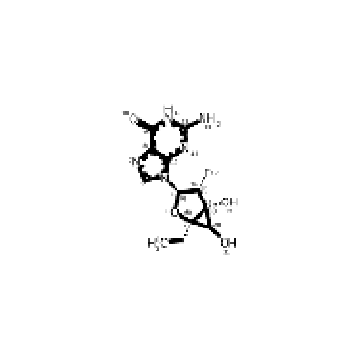 CC[C@]12O[C@@H](n3cnc4c(=O)[nH]c(N)nc43)[C@H](F)[C@@]1(O)C2O